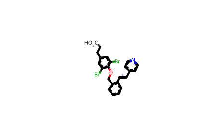 O=C(O)CCc1cc(Br)c(OCc2ccccc2/C=C/c2ccncc2)c(Br)c1